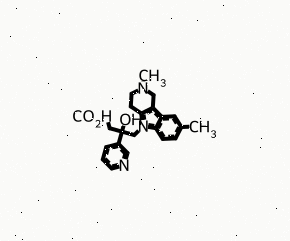 Cc1ccc2c(c1)c1c(n2CC(O)(CC(=O)O)c2cccnc2)CCN(C)C1